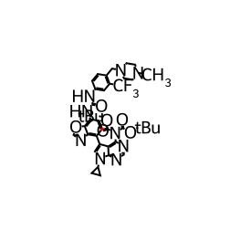 CN1CCN(Cc2ccc(NC(=O)Nc3ccc(-c4cn(C5CC5)c5ncnc(N(C(=O)OC(C)(C)C)C(=O)OC(C)(C)C)c45)c4ncoc34)cc2C(F)(F)F)CC1